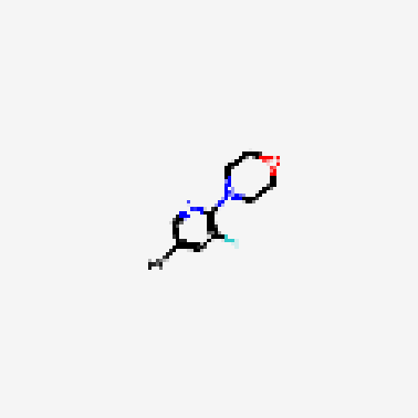 CC(C)c1cnc(N2CCOCC2)c(F)c1